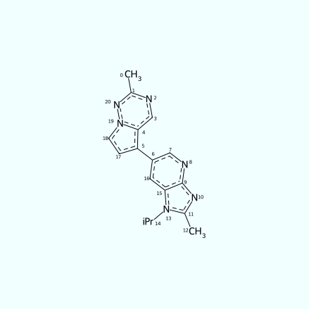 Cc1ncc2c(-c3cnc4nc(C)n(C(C)C)c4c3)ccn2n1